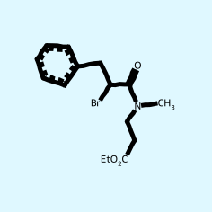 CCOC(=O)CCN(C)C(=O)C(Br)Cc1ccccc1